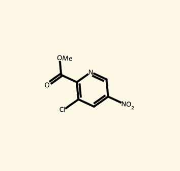 COC(=O)c1ncc([N+](=O)[O-])cc1Cl